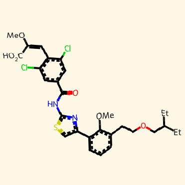 CCC(CC)COCCc1cccc(-c2csc(NC(=O)c3cc(Cl)c(C=C(OC)C(=O)O)c(Cl)c3)n2)c1OC